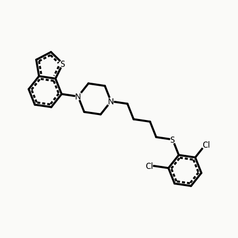 Clc1cccc(Cl)c1SCCCCN1CCN(c2cccc3ccsc23)CC1